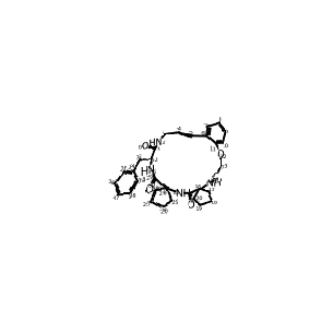 O=C1NC/C=C/c2ccccc2OCCNC2(CCCC2)C(=O)NC2(CCCC2)C(=O)N[C@H]1Cc1ccccc1